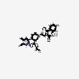 C=C/C=C\C(=C/C=C)[C@H]1CCN(CCn2c(=O)[nH]c3ccccc3c2=O)C[C@H]1C(=O)OCC